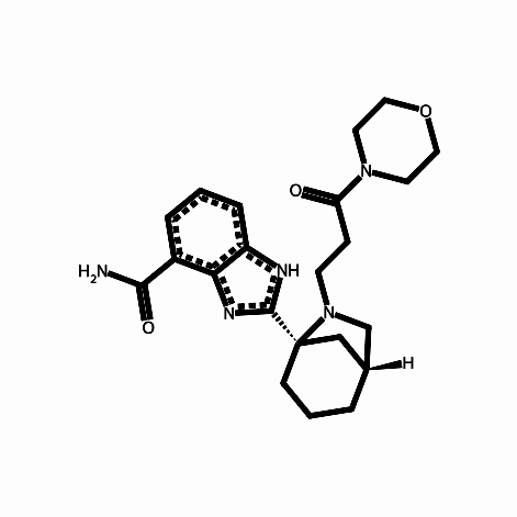 NC(=O)c1cccc2[nH]c([C@]34CCC[C@@H](CN3CCC(=O)N3CCOCC3)C4)nc12